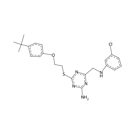 CC(C)(C)c1ccc(OCCSc2nc(N)nc(CNc3cccc(Cl)c3)n2)cc1